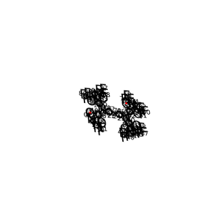 CC(=O)N1C=CN(C(=O)C(F)(F)F)C1c1ccc(N(c2ccc(-c3ccc(N(c4ccc(C5N(C(=O)C(F)(F)F)C=CN5C(=O)C(F)(F)F)cc4)c4ccc(C5N(C(=O)C(F)(F)F)C=CN5C(=O)C(F)(F)F)c(C)c4)cc3)cc2)c2ccc(C3N(C(=O)C(F)(F)F)C=CN3C(=O)C(F)(F)F)cc2)cc1C